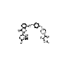 CC(F)C(=O)N1CCN(Cc2ccc(COc3cccc4c3CN(C3CCC(=O)NC3=O)C4=O)cc2)CC1